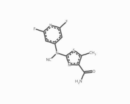 Cc1sc(N(C#N)c2cc(F)nc(F)c2)nc1C(N)=O